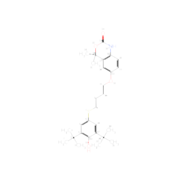 CC(C)(C)c1cc(SCCCCOc2ccc3c(c2)C(C)(C)OC(=O)N3)cc(C(C)(C)C)c1O